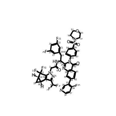 O=C(Cn1nc(C(F)F)c2c1C(F)(F)[C@H]1C[C@@H]21)NC(Cc1cc(F)cc(F)c1)c1nc2cc(-c3cnccc3F)ccc2c(=O)n1-c1ccc(S(=O)(=O)N2CCOCC2)cc1